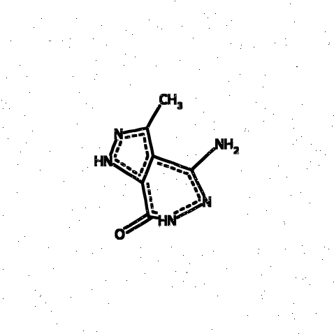 Cc1n[nH]c2c(=O)[nH]nc(N)c12